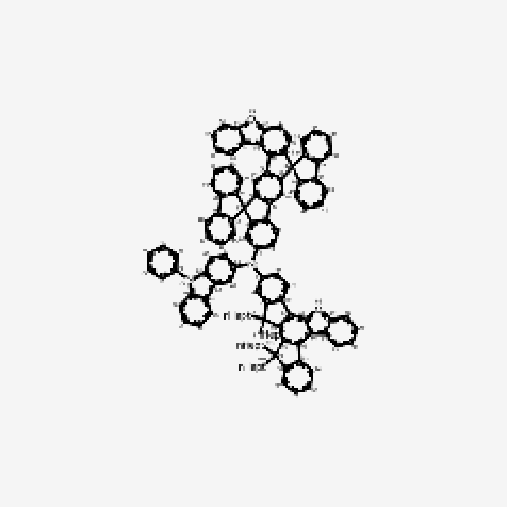 CCCCCCCC1(CCCCCCC)c2cc(N(c3ccc4c(c3)C3(c5ccccc5-c5ccccc53)c3cc5c(cc3-4)C3(c4ccccc4-c4ccccc43)c3ccc4oc6ccccc6c4c3-5)c3ccc4c(c3)c3ccccc3n4-c3ccccc3)ccc2-c2c1c1c(c3c2oc2ccccc23)-c2ccccc2C1(CCCCCCC)CCCCCCC